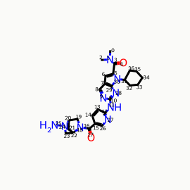 CN(C)C(=O)c1cc2cnc(Nc3ccc(C(=O)N4CC5CC4CN5N)cn3)nc2n1C1CCCCC1